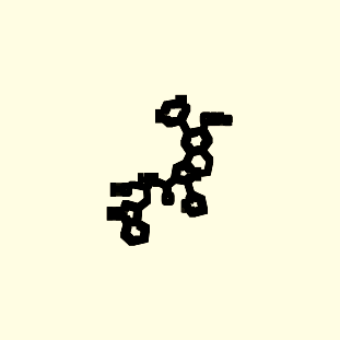 COc1cc2c(cc1-c1cncnc1)-c1cc(C(=O)NC(CO)Cc3c[nH]c4ccccc34)c(-c3cccs3)n1CC2